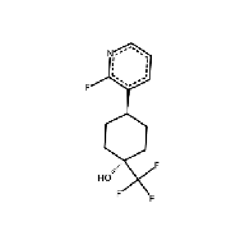 O[C@]1(C(F)(F)F)CC[C@@H](c2cccnc2F)CC1